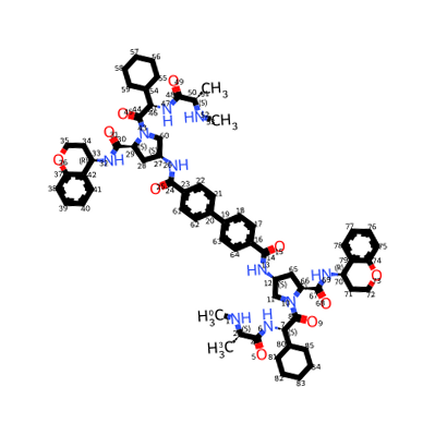 CN[C@@H](C)C(=O)N[C@H](C(=O)N1C[C@@H](NC(=O)c2ccc(-c3ccc(C(=O)N[C@H]4C[C@@H](C(=O)N[C@@H]5CCOc6ccccc65)N(C(=O)[C@@H](NC(=O)[C@H](C)NC)C5CCCCC5)C4)cc3)cc2)C[C@H]1C(=O)N[C@@H]1CCOc2ccccc21)C1CCCCC1